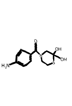 Nc1ccc(C(=O)N2CCSC(O)(O)C2)cc1